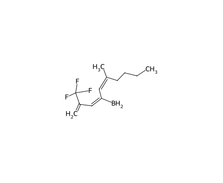 BC(=C/C(=C)C(F)(F)F)/C=C(/C)CCCC